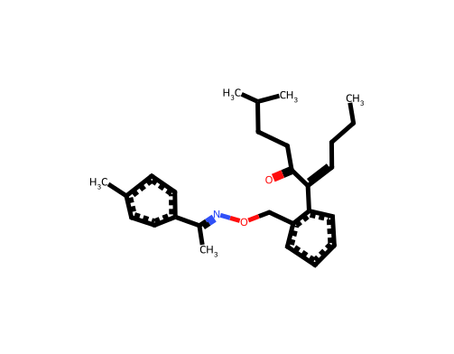 CCC/C=C(\C(=O)CCC(C)C)c1ccccc1CO/N=C(\C)c1ccc(C)cc1